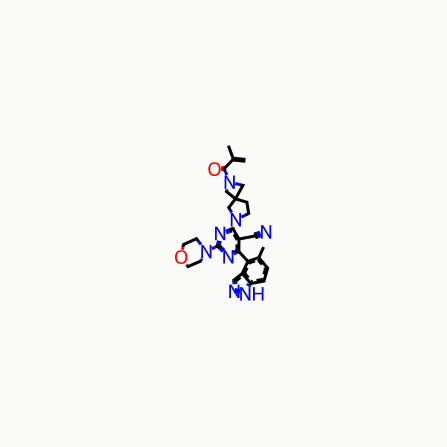 C=C(C)C(=O)N1CC2(CCN(c3nc(N4CCOCC4)nc(-c4c(C)ccc5[nH]ncc45)c3C#N)C2)C1